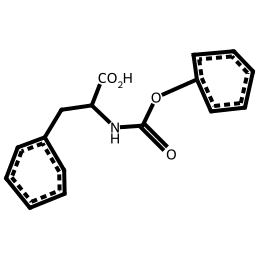 O=C(NC(Cc1ccccc1)C(=O)O)Oc1ccccc1